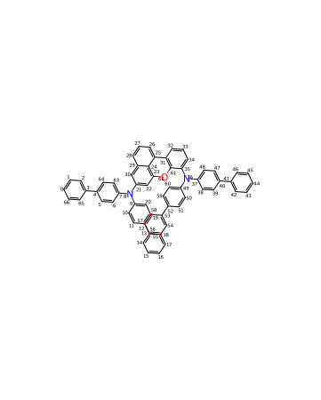 c1ccc(-c2ccc(N(c3ccc(-c4ccccc4)cc3)c3cc4c5c(cccc5c3)-c3cccc(N(c5ccc(-c6ccccc6)cc5)c5ccc(-c6ccccc6)cc5)c3O4)cc2)cc1